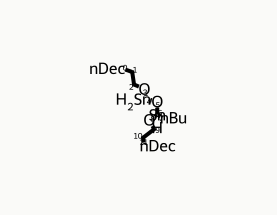 CCCCCCCCCCCC[O][SnH2][O][SnH]([CH2]CCC)[O]CCCCCCCCCCCC